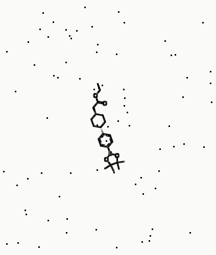 CCOC(=O)C[C@H]1CC[C@H](c2ccc(B3OC(C)(C)C(C)(C)O3)cc2)CC1